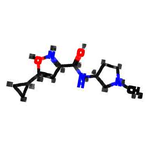 CN1CCC(NC(=O)c2cc(C3CC3)on2)C1